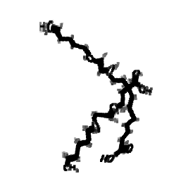 CCCCCCOCCOCCC(CCCCCCC(=O)O)(CCOCCOCCCCCC)C(=O)O